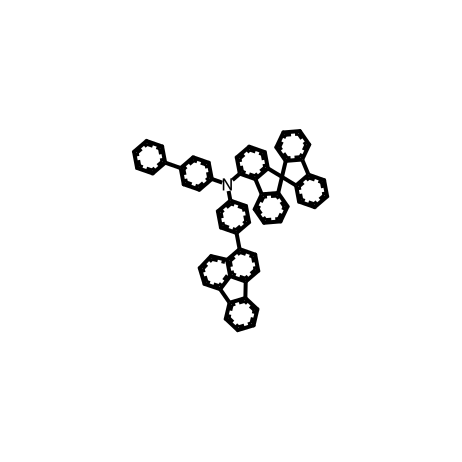 c1ccc(-c2ccc(N(c3ccc(-c4ccc5c6c(cccc46)-c4ccccc4-5)cc3)c3cccc4c3-c3ccccc3C43c4ccccc4-c4ccccc43)cc2)cc1